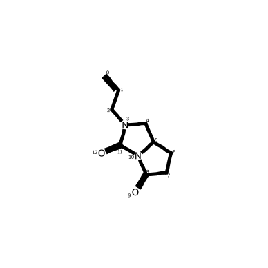 C=CCN1CC2CCC(=O)N2C1=O